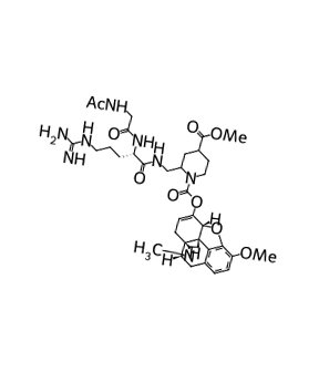 COC(=O)C1CCN(C(=O)OC2=CC[C@H]3[C@H]4Cc5ccc(OC)c6c5[C@@]3(CCN4C)[C@H]2O6)C(CNC(=O)[C@H](CCCNC(=N)N)NC(=O)CNC(C)=O)C1